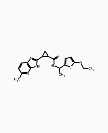 Cc1ccc2nc(C3CC3C(=O)NC(C)c3ccc(OCC(F)(F)F)s3)[nH]c2n1